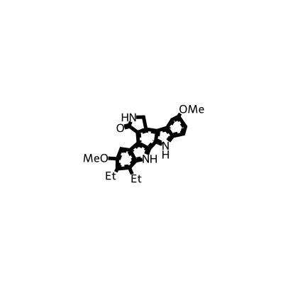 CCc1c(OC)cc2c([nH]c3c4[nH]c5ccc(OC)cc5c4c4c(c23)C(=O)NC4)c1CC